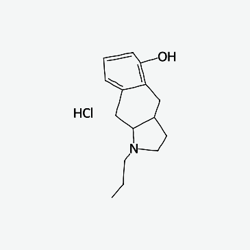 CCCN1CCC2Cc3c(O)cccc3CC21.Cl